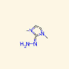 Cn1ccn(C)c1=NN